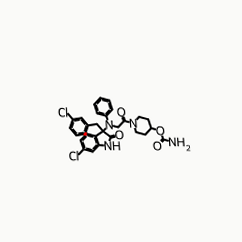 NC(=O)OC1CCN(C(=O)CN(c2ccccc2)C2(Cc3cccc(Cl)c3)C(=O)Nc3cc(Cl)ccc32)CC1